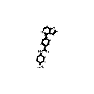 CC1CCC(NC(=O)c2ccc(-c3nccc4occc34)cc2)CC1